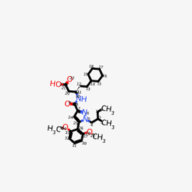 CCC(C)Cn1nc(C(=O)N[C@@H](CCC2CCCCC2)CC(=O)O)cc1-c1c(OC)cccc1OC